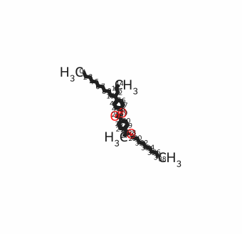 CCCCCCCCCCCC(CCC)c1ccc(OC(=O)c2ccc(C(C)OCCCCCCCCCC)cc2)cc1